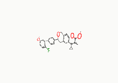 COC(=O)[C@@H](C)[C@H](c1ccc2c(c1)CC(c1ccc(-c3cc(OC)ccc3F)cc1)OC2)C1CC1